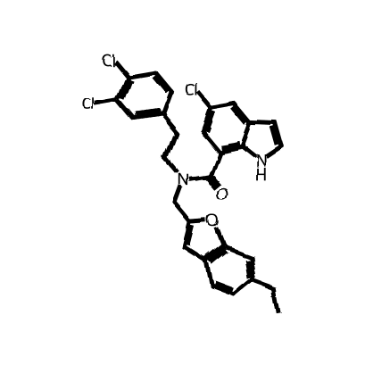 CCc1ccc2cc(CN(CCc3ccc(Cl)c(Cl)c3)C(=O)c3cc(Cl)cc4cc[nH]c34)oc2c1